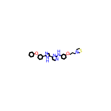 c1ccc(Oc2cccc(-c3ncc(-c4ccnc(Nc5cccc(OCCCN6CCSC6)c5)n4)[nH]3)c2)cc1